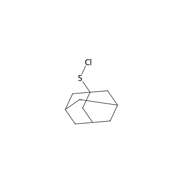 ClSC12CC3CC(CC(C3)C1)C2